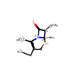 CC(=O)N[C@@H]1C(=O)N2C(C(=O)O)=C(COC(C)=O)CS[C@H]12